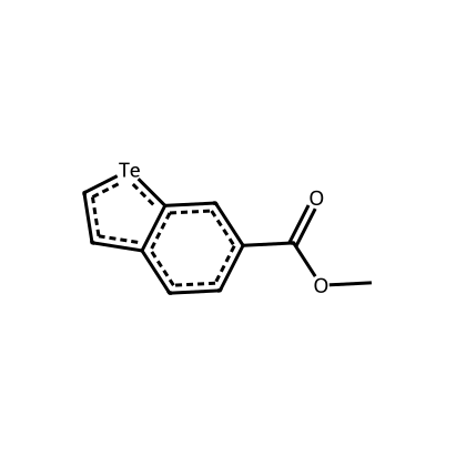 COC(=O)c1ccc2cc[te]c2c1